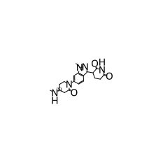 CN[C@H]1CCN(c2ccc3c(C4CCC(=O)NC4=O)nn(C)c3c2)C(=O)C1